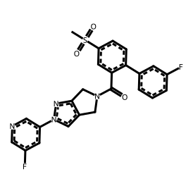 CS(=O)(=O)c1ccc(-c2cccc(F)c2)c(C(=O)N2Cc3cn(-c4cncc(F)c4)nc3C2)c1